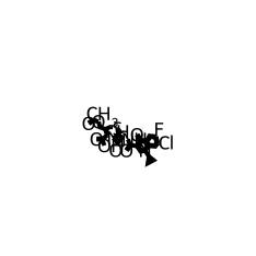 CC(=O)OCC1=C(C(=O)O)N2C(=O)[C@@H](NC(=O)c3cn(C4CC4)c4cc(Cl)c(F)cc4c3=O)[C@H]2SC1